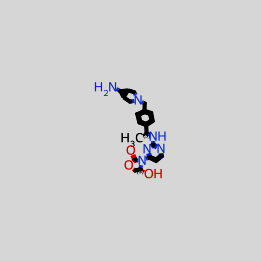 C[C@H](Nc1nccc(N2C(=O)OC[C@@H]2O)n1)c1ccc(CN2CC3C(N)C3C2)cc1